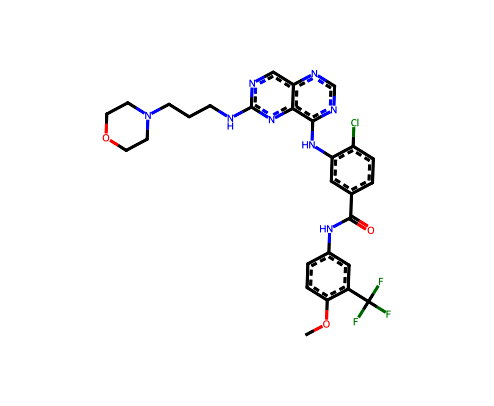 COc1ccc(NC(=O)c2ccc(Cl)c(Nc3ncnc4cnc(NCCCN5CCOCC5)nc34)c2)cc1C(F)(F)F